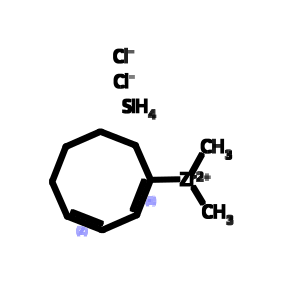 [CH3][Zr+2]([CH3])/[C]1=C/C=C\CCCC1.[Cl-].[Cl-].[SiH4]